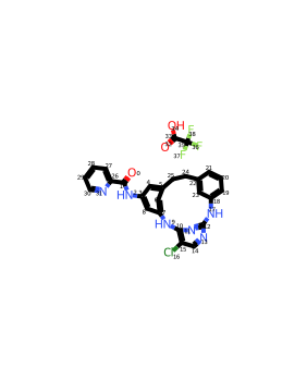 O=C(Nc1cc2cc(c1)Nc1nc(ncc1Cl)Nc1cccc(c1)CC2)c1ccccn1.O=C(O)C(F)(F)F